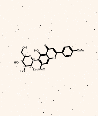 COc1ccc(-c2cc(=O)c3c(O)c([C@@H]4O[C@H](CO)[C@@H](O)[C@H](O)[C@H]4O)c(OC)cc3o2)cc1